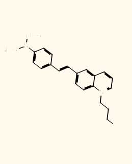 CCCCCCN(CCCCCC)c1ccc(/C=C/c2ccc3c(ccc[n+]3CCCS(=O)(=O)O)c2)cc1